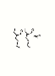 CCCCC(CC)C[O-].CCCCC(CC)C[O-].[Mg+2]